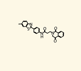 Cc1ccc2nc(-c3ccc(NC(=O)CCN4CC(=O)c5ccccc5C4=O)cc3)sc2c1